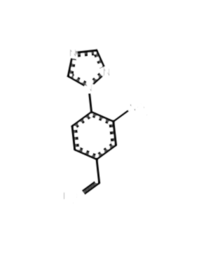 C=Cc1ccc(-n2cncn2)c([N+](=O)[O-])c1